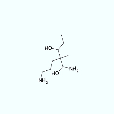 CCC(O)C(C)(CCCN)C(N)O